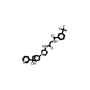 O=C(CNC(=O)c1cccc(C(F)(F)F)c1)NC1CCN(C2CC3CC2CC3(O)c2cccnc2)C1